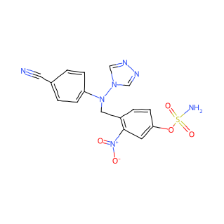 N#Cc1ccc(N(Cc2ccc(OS(N)(=O)=O)cc2[N+](=O)[O-])n2cnnc2)cc1